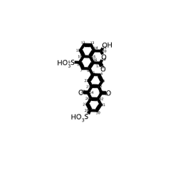 O=C1c2ccc(-c3cc(S(=O)(=O)O)c4cccc5c4c3C(=O)OC5O)cc2C(=O)c2cc(S(=O)(=O)O)ccc21